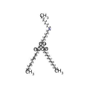 CCCCCCCC/C=C\CCCCCCCC(=O)OC(COC(=O)CCCCCCCCCCCCC)COC(=O)CCCCCCCCCCCCC